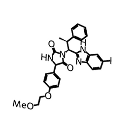 COCCOc1ccc(C2NC(=O)N([C@H](c3nc4ccc(I)cc4[nH]3)[C@@H](C)c3ccccc3)C2=O)cc1